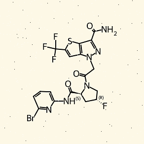 NC(=O)c1nn(CC(=O)N2C[C@H](F)C[C@H]2C(=O)Nc2cccc(Br)n2)c2cc(C(F)(F)F)sc12